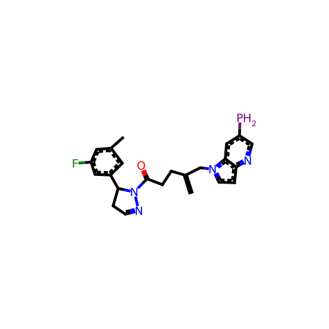 C=C(CCC(=O)N1N=CCC1c1cc(C)cc(F)c1)Cn1ccc2ncc(P)cc21